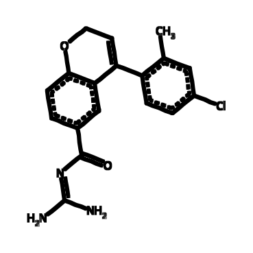 Cc1cc(Cl)ccc1C1=CCOc2ccc(C(=O)N=C(N)N)cc21